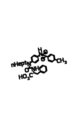 CCCCCCCN(C(=O)N[C@H](Cc1ccccc1)C(=O)O)c1ccc(NS(=O)(=O)c2ccc(C)cc2)cc1